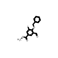 COC(=O)c1cc(I)c(OCc2ccccc2)c(C=O)c1